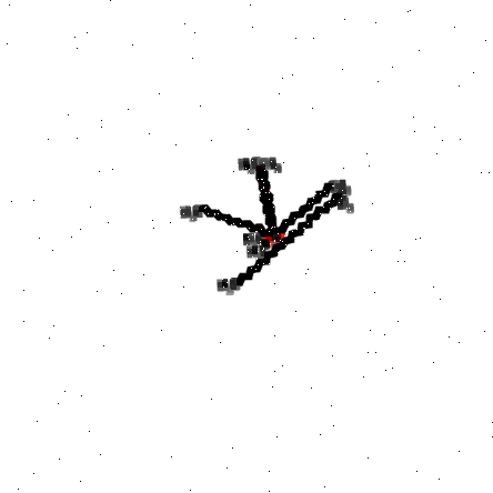 CCCCCCCCCCCCCC(CCCCCCCCCCCC)[O][Ti](=[O])([O]C(C)C)([CH](CCCCCCCCCCCC)CCCCCCCCCCCCC)[CH](CCCCCCCCCCCC)CCCCCCCCCCCCC